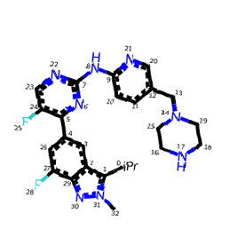 CC(C)c1c2cc(-c3nc(Nc4ccc(CN5CCNCC5)cn4)ncc3F)cc(F)c2nn1C